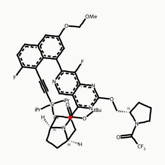 COCOc1cc(-c2ncc3c(N4C[C@H]5CC[C@@H](C4)N5C(=O)OC(C)(C)C)nc(OC[C@@H]4CCCN4C(=O)C(F)(F)F)nc3c2F)c2c(C#C[Si](C(C)C)(C(C)C)C(C)C)c(F)ccc2c1